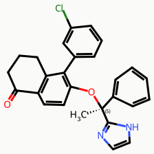 C[C@](Oc1ccc2c(c1-c1cccc(Cl)c1)CCCC2=O)(c1ccccc1)c1ncc[nH]1